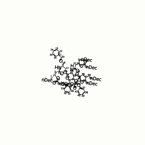 CCCCCCCCCCC[C@H](CC(=O)N[C@@H](COCc1ccccc1)CO[C@@H]1O[C@H](CO)[C@@H](OP(=O)(Oc2ccccc2)Oc2ccccc2)[C@H](OC(=O)C[C@@H](CCCCCCCCCCC)C(=O)CCCCCCCCCC)[C@H]1NC(=O)C[C@@H](CCCCCCCCCCC)OC(=O)CCCCCCCCCC)OC(=O)CCCCCCCCCC